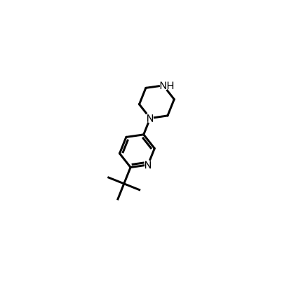 CC(C)(C)c1ccc(N2CCNCC2)cn1